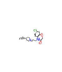 CCCCC1CCN(CCCN2C(=O)COc3cc(Cl)ccc32)CC1